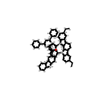 CCc1ccc2c(c1)c1ccc3c4cc(CC)ccc4n(-c4cccc(-c5ccc6sc7ccccc7c6c5)n4)c3c1n2-c1cccc(-c2nc(-c3ccccc3)cc(-c3ccccc3)n2)c1